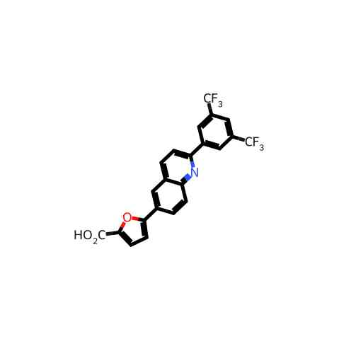 O=C(O)c1ccc(-c2ccc3nc(-c4cc(C(F)(F)F)cc(C(F)(F)F)c4)ccc3c2)o1